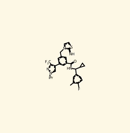 Cc1cc(C(NC(=O)c2cc(Cn3ccsc3=N)cc(-c3cn(C(C)C)nc3C(F)(F)F)c2)C2CC2)ccc1F